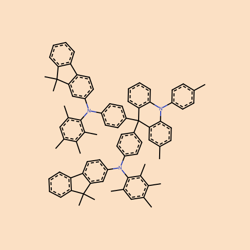 Cc1ccc(N2c3ccccc3C(c3ccc(N(c4ccc5c(c4)C(C)(C)c4ccccc4-5)c4c(C)cc(C)c(C)c4C)cc3)(c3ccc(N(c4ccc5c(c4)C(C)(C)c4ccccc4-5)c4c(C)cc(C)c(C)c4C)cc3)c3cc(C)ccc32)cc1